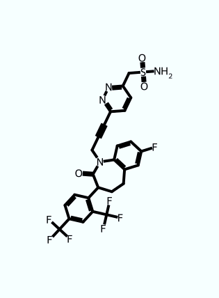 NS(=O)(=O)Cc1ccc(C#CCN2C(=O)C(c3ccc(C(F)(F)F)cc3C(F)(F)F)CCc3cc(F)ccc32)nn1